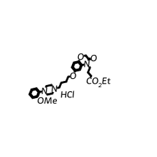 CCOC(=O)CCCN1C(=O)COc2ccc(OCCCCN3CCN(c4ccccc4OC)CC3)cc21.Cl